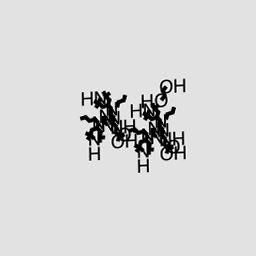 CCCCN(c1nc(NCC(=O)O)nc(N(CCCC)C2CC(C)(C)NC(C)(C)C2)n1)C1CC(C)(C)NC(C)(C)C1.CCCCN(c1nc(NCC(=O)O)nc(N(CCCC)C2CC(C)(C)NC(C)(C)C2)n1)C1CC(C)(C)NC(C)(C)C1.OCCO